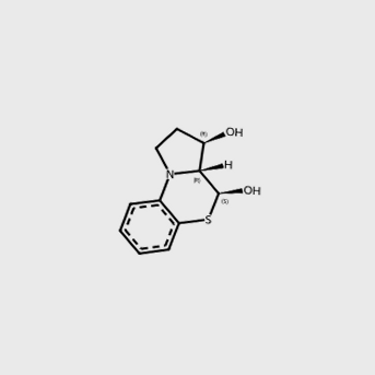 O[C@@H]1CCN2c3ccccc3S[C@H](O)[C@@H]12